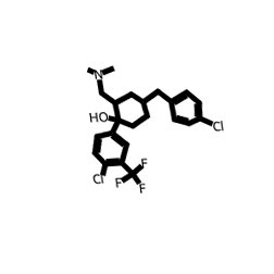 CN(C)CC1CC(Cc2ccc(Cl)cc2)CCC1(O)c1ccc(Cl)c(C(F)(F)F)c1